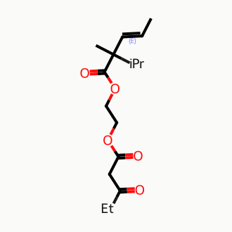 C/C=C/C(C)(C(=O)OCCOC(=O)CC(=O)CC)C(C)C